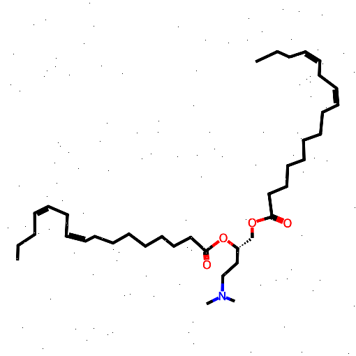 CCC/C=C\C/C=C\CCCCCCCC(=O)OC[C@H](CCN(C)C)OC(=O)CCCCCCC/C=C\C/C=C\CCC